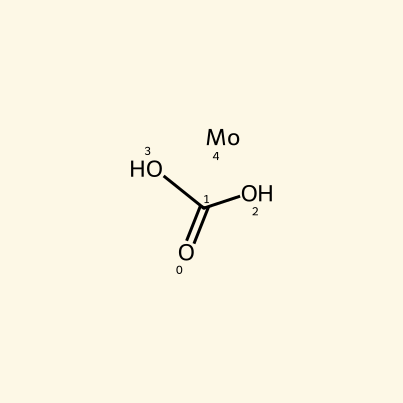 O=C(O)O.[Mo]